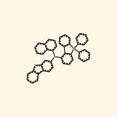 c1ccc([Si]2(c3ccccc3)c3ccccc3-c3c(N(c4ccc5c(c4)sc4ccccc45)c4cccc5ccccc45)cccc32)cc1